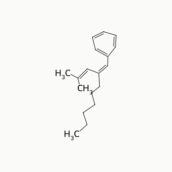 CCCCCCC(C=C(C)C)=Cc1ccccc1